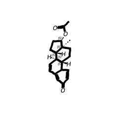 CC(=O)O[C@H]1CC[C@H]2[C@@H]3C=CC4=CC(=O)C=CC4[C@H]3CC[C@]12C